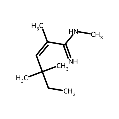 CCC(C)(C)/C=C(/C)C(=N)NC